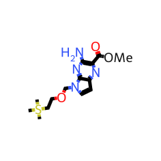 COC(=O)c1nc2ccn(COCCS(C)(C)C)c2nc1N